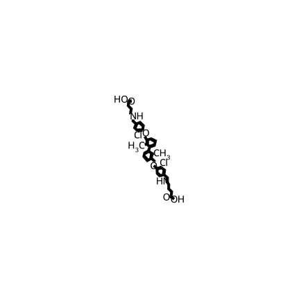 Cc1c(COc2ccc(CNCCCC(=O)O)cc2Cl)cccc1-c1cccc(COc2ccc(CNCCCC(=O)O)cc2Cl)c1C